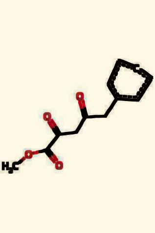 COC(=O)C(=O)CC(=O)Cc1ccccc1